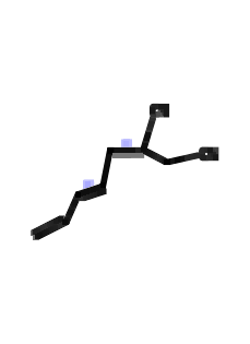 C=C/C=C/C=C(/C#N)CC#N